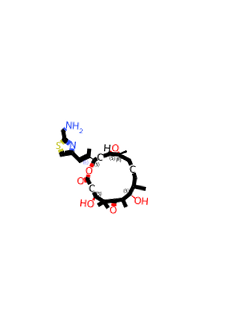 C/C(=C\c1csc(CN)n1)[C@@H]1C[C@@H]2O[C@]2(C)CCCC(C)[C@H](O)C(C)C(=O)C(C)(C)[C@@H](O)CC(=O)O1